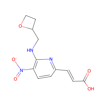 O=C(O)/C=C/c1ccc([N+](=O)[O-])c(NCC2CCO2)n1